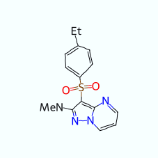 CCc1ccc(S(=O)(=O)c2c(NC)nn3cccnc23)cc1